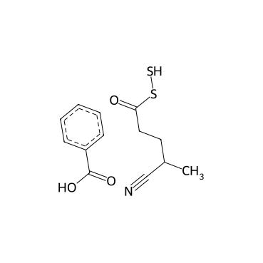 CC(C#N)CCC(=O)SS.O=C(O)c1ccccc1